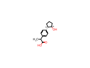 CC(C(=O)O)c1ccc([C@@H]2CCC[C@H]2O)cc1